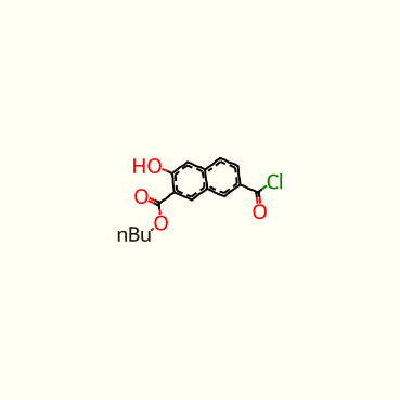 CCCCOC(=O)c1cc2cc(C(=O)Cl)ccc2cc1O